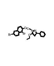 CCOc1cc(-c2ccccc2)nn1CCOc1ccc2cc(Br)ccc2c1Br